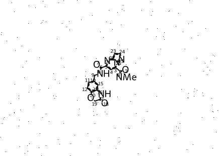 CNC(=O)c1cc(C(=O)NCc2ccc3c(c2)NC(=O)CO3)nc2ccnn12